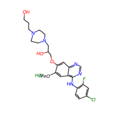 COc1cc2c(Nc3ccc(Cl)cc3F)ncnc2cc1OCC(O)CN1CCN(CCCO)CC1.Cl